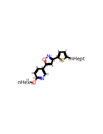 CCCCCCCc1ccc(-c2cc(-c3ccc(OCCCCCC)nc3)on2)s1